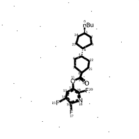 CCCC[C@H]1CC[C@H](C2CCC(C(=O)Oc3cc(F)c(F)nc3F)CC2)CC1